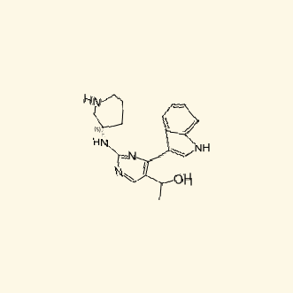 CC(O)c1cnc(N[C@H]2CCCNC2)nc1-c1c[nH]c2ccccc12